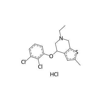 CCN1Cc2sc(C)cc2C(Oc2cccc(Cl)c2Cl)C1.Cl